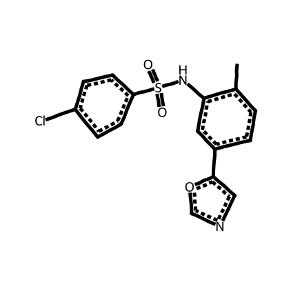 Cc1ccc(-c2cnco2)cc1NS(=O)(=O)c1ccc(Cl)cc1